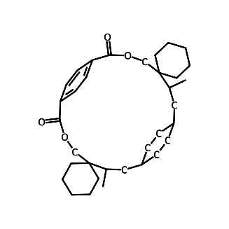 CC1CC2CCC(CC2)CC(C)C2(CCCCC2)COC(=O)c2ccc(cc2)C(=O)OCC12CCCCC2